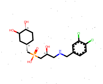 O=P(O)(C[C@@H](O)CNCc1ccc(Cl)c(Cl)c1)C[C@H]1CC[C@@H](O)C(O)C1